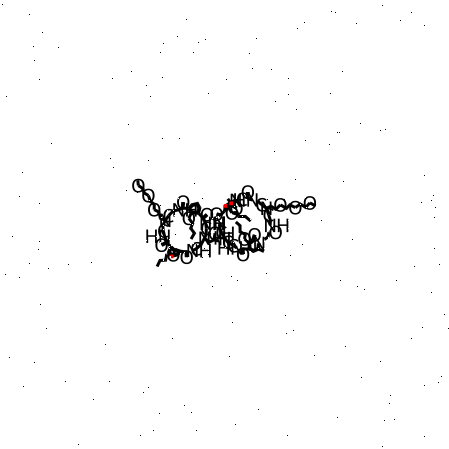 CCCCOc1c2cccc1C(=O)NCCN(CC(O)CN1CCNC(=O)c3cc(C)n(c(=O)c3OCCCC)CC(=O)NCCN(CCOCCOCCOC)CCNC(=O)Cn3c(C)cc(c(OCCCC)c3=O)C(=O)NCC1)CCNC(=O)c1cccc(c1OCCCC)C(=O)NCCN(CCOCCOCCOC)CCNC2=O